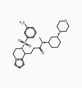 CN(C(=O)CCC1c2cccn2CCN1S(=O)(=O)c1cccc(C(F)(F)F)c1)[C@@H]1CCC[C@H](N2CCOCC2)C1